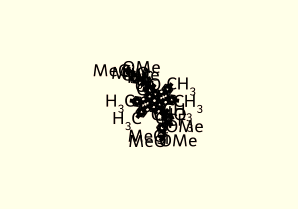 COCN(C(=O)C(CC(F)(F)F)N(C)C(=O)c1cc(Oc2ccc(C)cc2)c2c3c(Oc4ccc(C)cc4)cc4c5c(cc(Oc6ccc(C)cc6)c(c6c(Oc7ccc(C)cc7)cc(C=O)c1c62)c53)C(=O)N(C(CC(F)(F)F)C(=O)N(COC)C1CCCC(C[Si](OC)(OC)OC)C1)C4=O)C1CCCC(C[Si](OC)(OC)OC)C1